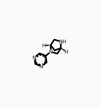 c1ncc(N2C[C@@H]3C[C@H]2CN3)cn1